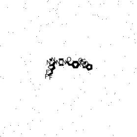 CS(=O)(=O)N(CC1CCCC1)c1ccc(CC(=O)N2CCN(c3ncnc4sc(CC(F)(F)F)cc34)CC2)cc1